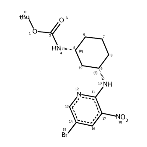 CC(C)(C)OC(=O)N[C@@H]1CCC[C@H](Nc2ncc(Br)cc2[N+](=O)[O-])C1